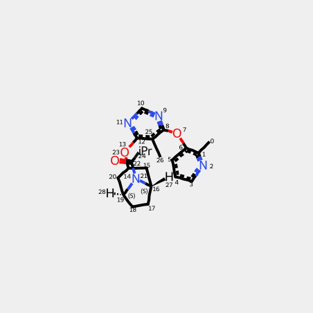 Cc1ncccc1Oc1ncnc(OC2C[C@@H]3CC[C@@H](C2)N3C(=O)C(C)C)c1C